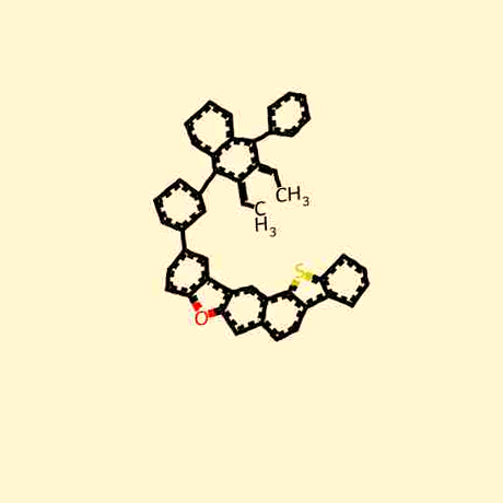 C/C=c1/c(-c2ccccc2)c2ccccc2c(-c2cccc(-c3ccc4oc5cc6ccc7c8ccccc8sc7c6cc5c4c3)c2)/c1=C/C